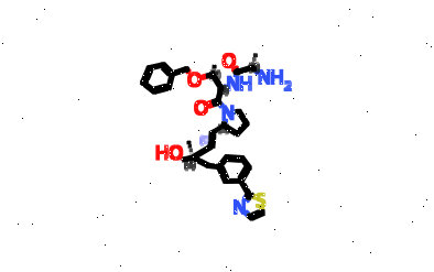 C[C@H](N)C(=O)N[C@H](C(=O)N1CCC[C@H]1/C=C/[C@](C)(CO)Cc1cccc(-c2nccs2)c1)[C@@H](C)OCc1ccccc1